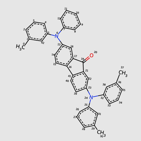 Cc1cccc(N(c2ccccc2)c2ccc3c(c2)C(=O)c2cc(N(c4cccc(C)c4)c4cccc(C)c4)ccc2-3)c1